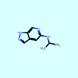 CC(C)Nc1cc2cn[nH]c2cn1